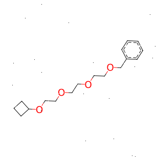 c1ccc(COCCOCCOCCOC2CCC2)cc1